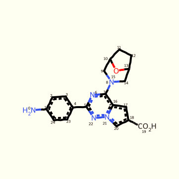 Nc1ccc(-c2nc(N3CC4CCC(C3)O4)c3cc(C(=O)O)cn3n2)cc1